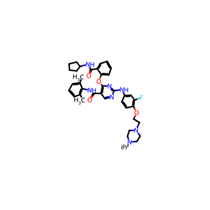 Cc1cccc(C)c1NC(=O)c1cnc(Nc2ccc(OCCN3CCN(C(C)C)CC3)c(F)c2)nc1Oc1ccccc1C(=O)NC1CCCC1